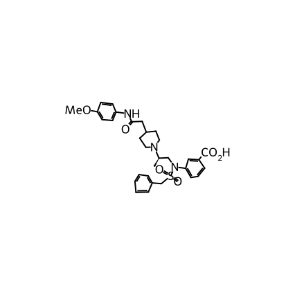 COc1ccc(NC(=O)CC2CCN([C@H](C)CN(c3cccc(C(=O)O)c3)S(=O)(=O)Cc3ccccc3)CC2)cc1